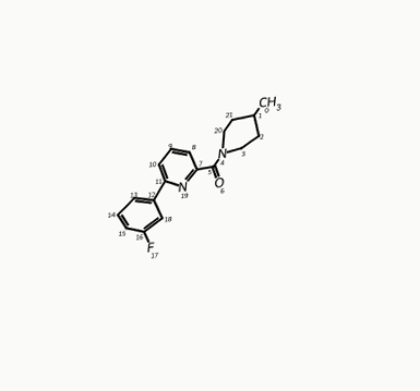 CC1CCN(C(=O)c2cccc(-c3cccc(F)c3)n2)CC1